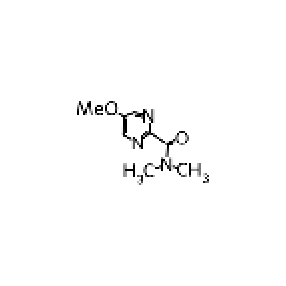 COc1cnc(C(=O)N(C)C)nc1